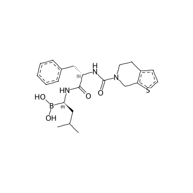 CC(C)C[C@H](NC(=O)[C@H](Cc1ccccc1)NC(=O)N1CCc2ccsc2C1)B(O)O